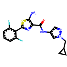 Nc1sc(-c2c(F)cccc2F)nc1C(=O)Nc1cnn(CC2CC2)c1